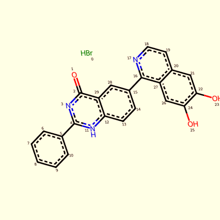 Br.O=c1nc(-c2ccccc2)[nH]c2ccc(-c3nccc4cc(O)c(O)cc34)cc12